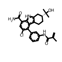 C=C(C)C(=O)Nc1cccc(-c2c(Cl)cc(C(N)=O)c3[nH]c4c(c23)CC[C@@H](C(C)(C)O)C4)c1